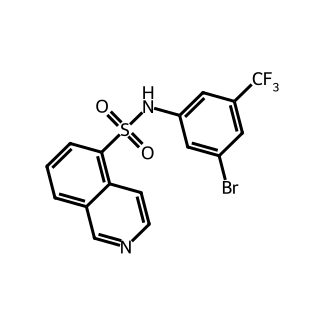 O=S(=O)(Nc1cc(Br)cc(C(F)(F)F)c1)c1cccc2cnccc12